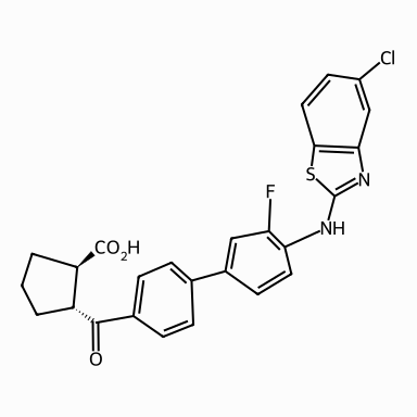 O=C(O)[C@@H]1CCC[C@H]1C(=O)c1ccc(-c2ccc(Nc3nc4cc(Cl)ccc4s3)c(F)c2)cc1